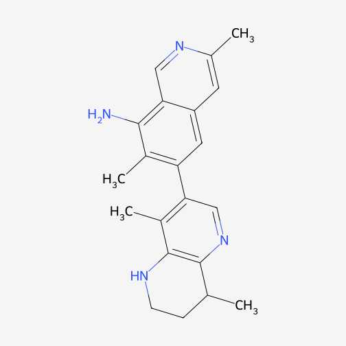 Cc1cc2cc(-c3cnc4c(c3C)NCCC4C)c(C)c(N)c2cn1